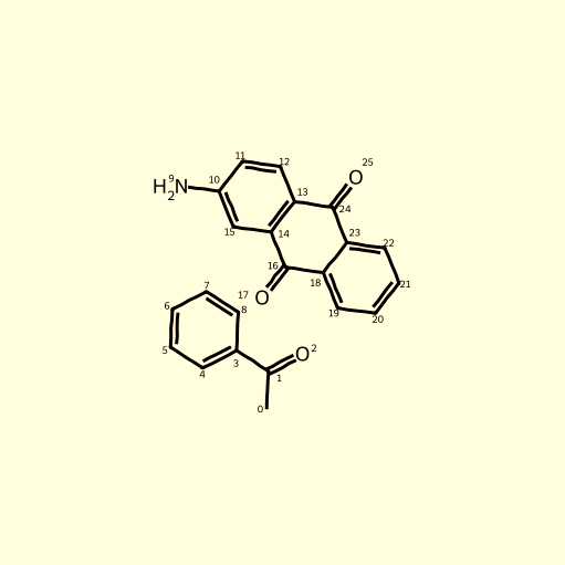 CC(=O)c1ccccc1.Nc1ccc2c(c1)C(=O)c1ccccc1C2=O